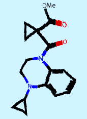 COC(=O)C1(C(=O)N2CCN(C3CC3)c3ccccc32)CC1